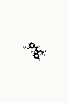 COc1ccnc(C(=O)c2[nH]c3ccc(Cl)cc3c2CC(=O)O)c1